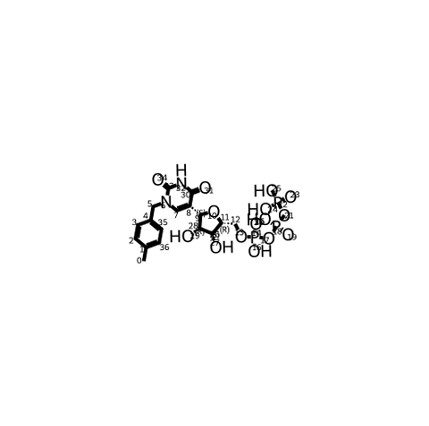 Cc1ccc(Cn2cc([C@@H]3O[C@H](COP(=O)(O)OP(=O)(O)OP(=O)(O)O)[C@@H](O)[C@H]3O)c(=O)[nH]c2=O)cc1